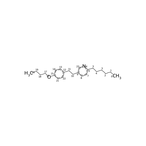 CCCCCCc1ccc(CCc2ccc(OCCCC)cc2)cn1